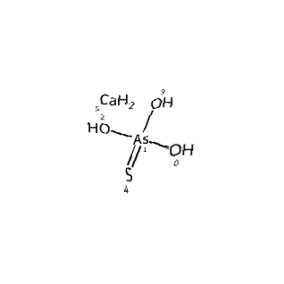 O[As](O)(O)=S.[CaH2]